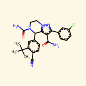 CC(C)(C)c1cc(C2c3c(C(N)=O)c(-c4cccc(Cl)c4)nn3CCN2C(N)=O)ccc1C#N